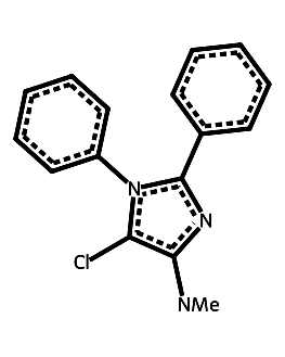 CNc1nc(-c2ccccc2)n(-c2ccccc2)c1Cl